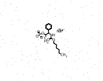 CCCCCCOC(=O)N[C@H](c1ccccc1)[C@H](C)OP(=O)([O-])[O-].[Na+].[Na+]